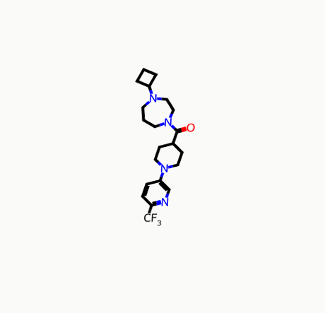 O=C(C1CCN(c2ccc(C(F)(F)F)nc2)CC1)N1CCCN(C2CCC2)CC1